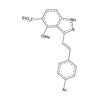 CCOC(=O)c1ccc2[nH]nc(/C=C/c3ccc(C(C)=O)cc3)c2c1OC